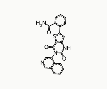 NC(=O)c1ccccc1-c1cc2[nH]c(=O)n(-c3cncc4ccccc34)c(=O)c2s1